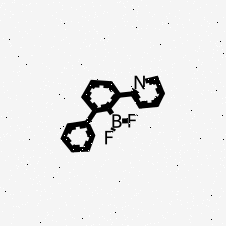 FB(F)c1c(-c2ccccc2)cccc1-c1ccccn1